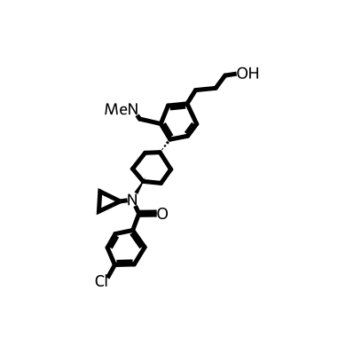 CNCc1cc(CCCO)ccc1[C@H]1CC[C@H](N(C(=O)c2ccc(Cl)cc2)C2CC2)CC1